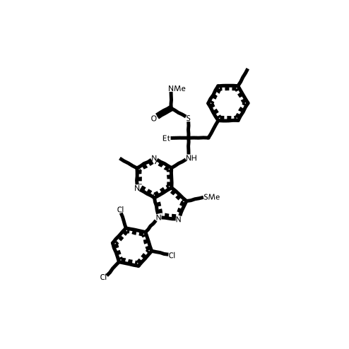 CCC(Cc1ccc(C)cc1)(Nc1nc(C)nc2c1c(SC)nn2-c1c(Cl)cc(Cl)cc1Cl)SC(=O)NC